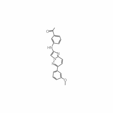 COc1cccc(-c2ccc3nc(Nc4cccc(C(C)=O)c4)cn3n2)c1